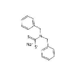 S=C([S-])N(Cc1ccccc1)Cc1ccccc1.[Na+]